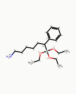 CCO[Si](OCC)(OCC)C(CCCCCN)c1ccccc1